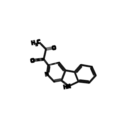 CC(=O)C(=O)c1cc2c(cn1)[nH]c1ccccc12